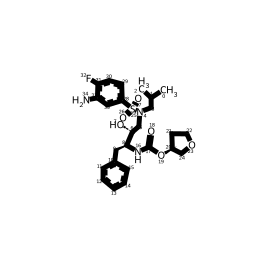 CC(C)CN(C[C@@H](O)[C@H](Cc1ccccc1)NC(=O)O[C@H]1CCOC1)S(=O)(=O)c1ccc(F)c(N)c1